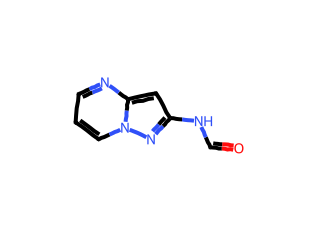 O=CNc1cc2ncccn2n1